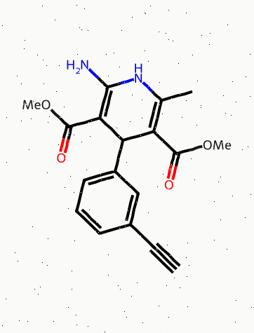 C#Cc1cccc(C2C(C(=O)OC)=C(C)NC(N)=C2C(=O)OC)c1